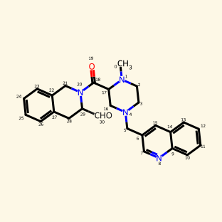 CN1CCN(Cc2cnc3ccccc3c2)CC1C(=O)N1Cc2ccccc2CC1C=O